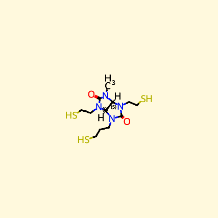 CN1C(=O)N(CCS)[C@H]2[C@@H]1N(CCS)C(=O)N2CCCS